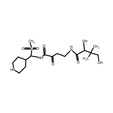 CC(C)(CO)C(O)C(=O)NCCC(=O)C(=O)NC(C1CCNCC1)S(C)(=O)=O